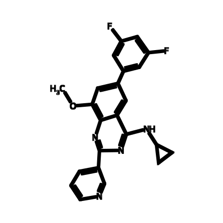 COc1cc(-c2cc(F)cc(F)c2)cc2c(NC3CC3)nc(-c3cccnc3)nc12